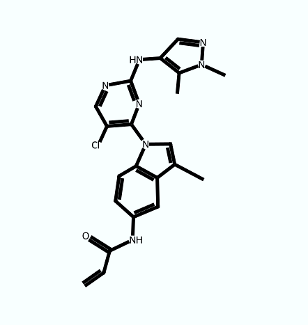 C=CC(=O)Nc1ccc2c(c1)c(C)cn2-c1nc(Nc2cnn(C)c2C)ncc1Cl